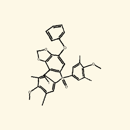 COc1c(C)cc(P(=O)(c2cc(C)c(OC)c(C)c2)c2cc(Oc3ccccc3)c3c(c2CI)OCO3)cc1C